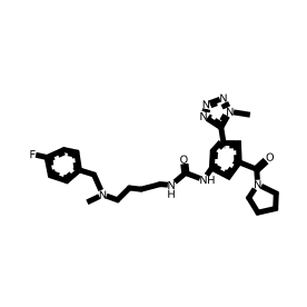 CN(CCCCNC(=O)Nc1cc(C(=O)N2CCCC2)cc(-c2nnnn2C)c1)Cc1ccc(F)cc1